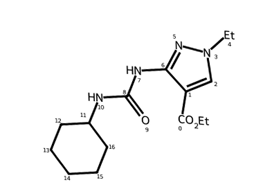 CCOC(=O)c1cn(CC)nc1NC(=O)NC1CCCCC1